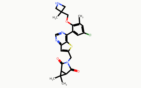 Cc1cc(Cl)cc(-c2ncnc3cc(CN4C(=O)C5C(C4=O)C5(C)C)sc23)c1OCC1(C)CNC1